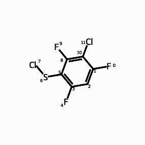 Fc1cc(F)c(SCl)c(F)c1Cl